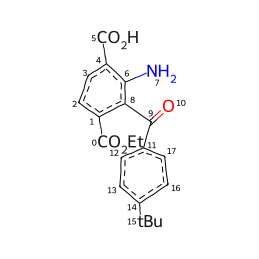 CCOC(=O)c1ccc(C(=O)O)c(N)c1C(=O)c1ccc(C(C)(C)C)cc1